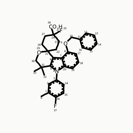 Cc1cc(-n2c3c(c4c(OCc5ccccc5)cccc42)C2(CCC(F)(C(=O)O)CC2)OCC3(C)C)ccc1F